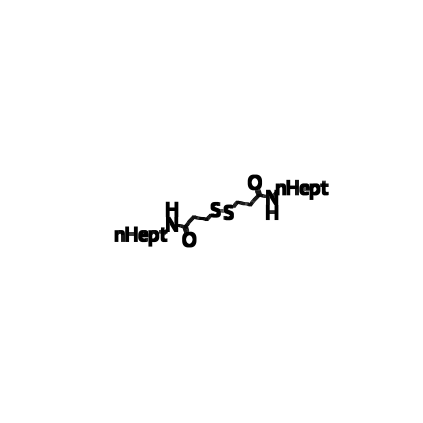 CCCCCCCNC(=O)CCSSCCC(=O)NCCCCCCC